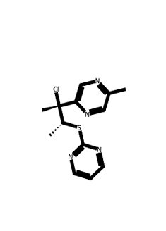 Cc1cnc([C@@](C)(Cl)[C@@H](C)Sc2ncccn2)cn1